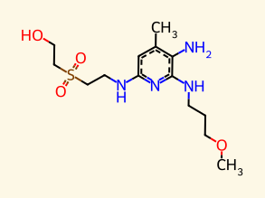 COCCCNc1nc(NCCS(=O)(=O)CCO)cc(C)c1N